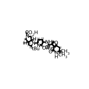 COc1nc(N2C(C(C)(C)C)C[C@@H]3CN(C(=O)O)C[C@@H]32)ccc1NC(=O)c1coc2c1C(=O)NC(C)(C)C2